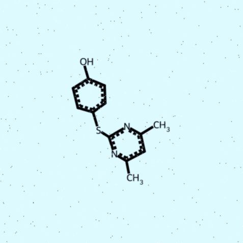 Cc1cc(C)nc(Sc2ccc(O)cc2)n1